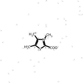 Cc1sc(C(=O)[O-])[n+](C)c1C